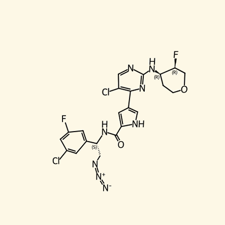 [N-]=[N+]=NC[C@@H](NC(=O)c1cc(-c2nc(N[C@@H]3CCOC[C@@H]3F)ncc2Cl)c[nH]1)c1cc(F)cc(Cl)c1